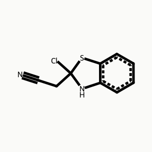 N#CCC1(Cl)Nc2ccccc2S1